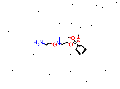 CO[Si](OC)(OCCNOCCN)c1ccccc1